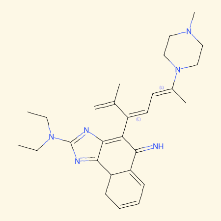 C=C(C)/C(=C\C=C(/C)N1CCN(C)CC1)C1=C2N=C(N(CC)CC)N=C2C2CC=CC=C2C1=N